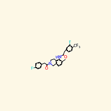 Cc1ccc2c(c1NC(=O)Cc1ccc(C(F)(F)F)c(F)c1)CCN(C(=O)Cc1ccc(F)cc1)C2